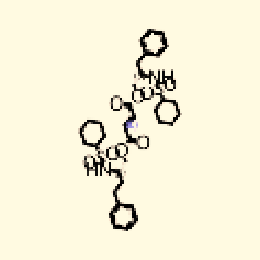 O=C(/C=C/C(=O)OC[C@H](CCc1ccccc1)NS(=O)(=O)C1CCCCC1)OC[C@H](Cc1ccccc1)NS(=O)(=O)C1CCCCC1